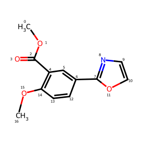 COC(=O)c1cc(-c2ncco2)ccc1OC